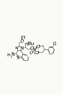 CCCCC(COP1(=O)OCC(c2cccc(Cl)c2)CO1)n1c(COCC)nc2c(N)nc3ccccc3c21